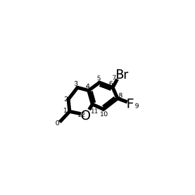 CC1CCc2cc(Br)c(F)cc2O1